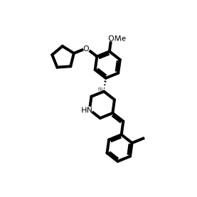 COc1ccc([C@H]2CNCC(=Cc3ccccc3C)C2)cc1OC1CCCC1